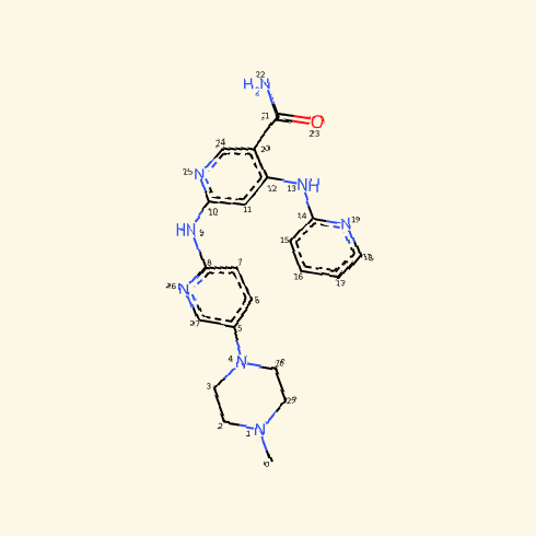 CN1CCN(c2ccc(Nc3cc(Nc4ccccn4)c(C(N)=O)cn3)nc2)CC1